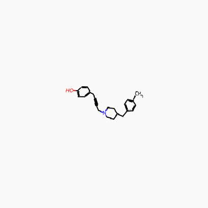 Cc1ccc(CC2CCN(CC#CCc3ccc(O)cc3)CC2)cc1